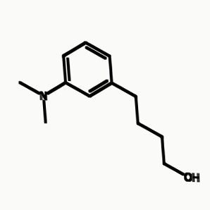 CN(C)c1cccc(CCCCO)c1